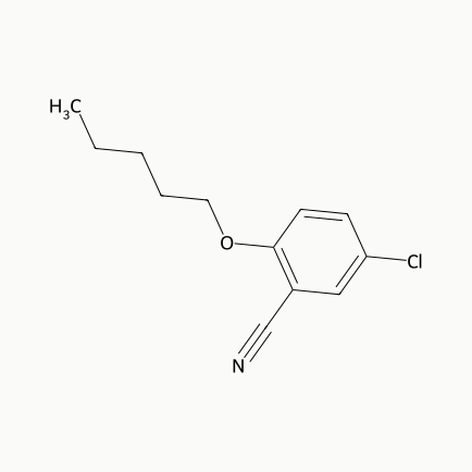 CCCCCOc1ccc(Cl)cc1C#N